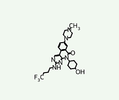 CN1CCN(c2ccc3c(c2)c(=O)n(C2CCC(O)CC2)c2nc(NCCCC(F)(F)F)ncc32)CC1